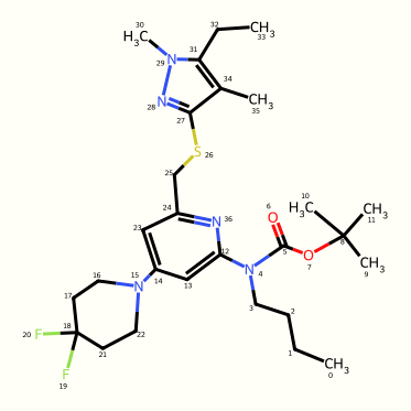 CCCCN(C(=O)OC(C)(C)C)c1cc(N2CCC(F)(F)CC2)cc(CSc2nn(C)c(CC)c2C)n1